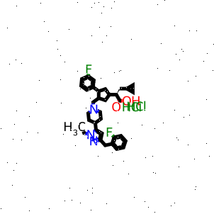 CCn1nc(Cc2ccccc2F)cc1C1CCN(CC2CC([C@H](CC3CC3)C(=O)O)CC2c2cccc(F)c2)CC1.Cl.Cl